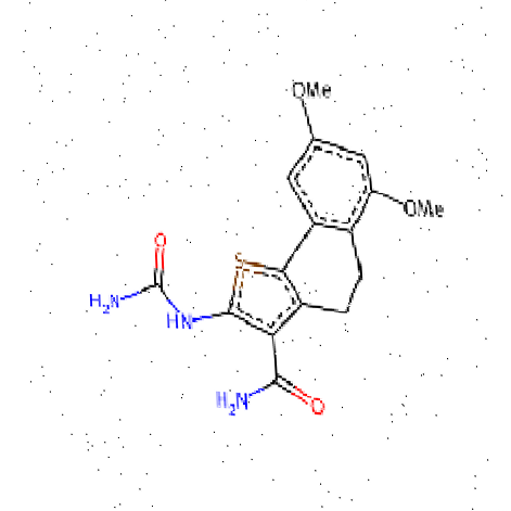 COc1cc(OC)c2c(c1)-c1sc(NC(N)=O)c(C(N)=O)c1CC2